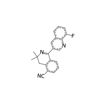 CC1(C)Cc2c(C#N)cccc2C(c2cnc3c(F)cccc3c2)=N1